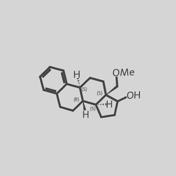 COC[C@]12CC[C@@H]3c4ccccc4CC[C@H]3[C@@H]1CCC2O